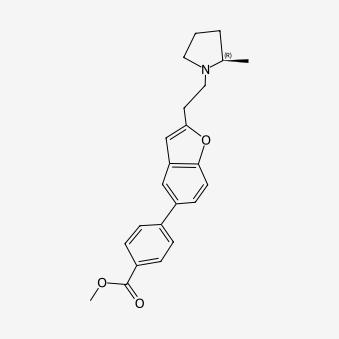 COC(=O)c1ccc(-c2ccc3oc(CCN4CCC[C@H]4C)cc3c2)cc1